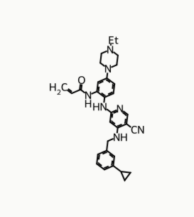 C=CC(=O)Nc1cc(N2CCN(CC)CC2)ccc1Nc1cc(NCc2cccc(C3CC3)c2)c(C#N)cn1